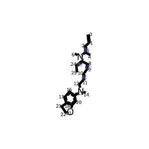 C=C/C=C(\C)N(C)C(/C=C\C=C\CN(C)c1ccc2c(c1)OCC2)=C/C